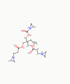 CCC(COC(=O)CCN1CC1)(COC(=O)CCN1CC1)COC(=O)N1CC1